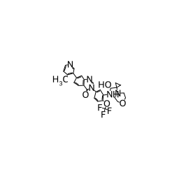 Cc1ccncc1-c1ccc2c(=O)n(-c3ccc(OC(F)(F)F)c(NC(O)C4(N5CCOCC5)CC4)c3)cnc2c1